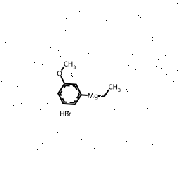 Br.C[CH2][Mg][c]1cccc(OC)c1